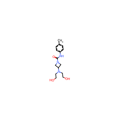 Cc1ccc(NC(=O)N2CC(N(CCO)CCO)C2)cc1